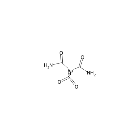 N[C](=O)[Ru]([C](N)=O)[SH](=O)=O